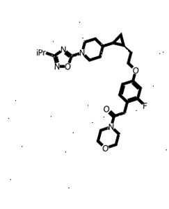 CC(C)c1noc(N2CCC(C3C[C@H]3CCOc3ccc(CC(=O)N4CCOCC4)c(F)c3)CC2)n1